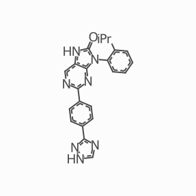 CC(C)c1ccccc1-n1c(=O)[nH]c2cnc(-c3ccc(-c4nc[nH]n4)cc3)nc21